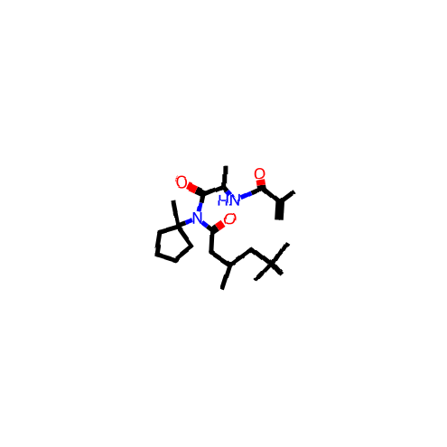 C=C(C)C(=O)NC(C)C(=O)N(C(=O)CC(C)CC(C)(C)C)C1(C)CCCC1